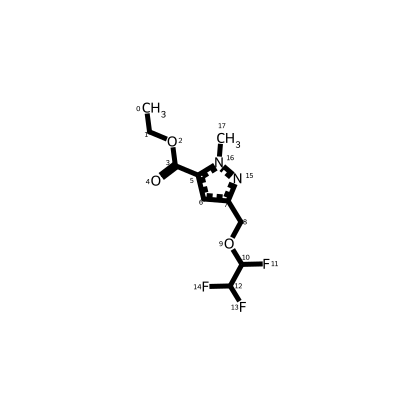 CCOC(=O)c1cc(COC(F)C(F)F)nn1C